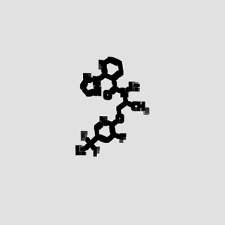 CCN(C(=O)c1cccnc1-n1nccn1)C(C)COc1ncc(C(F)(F)CC)cc1F